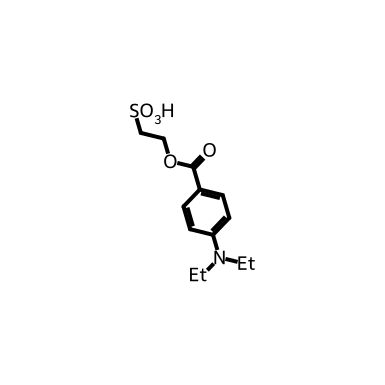 CCN(CC)c1ccc(C(=O)OCCS(=O)(=O)O)cc1